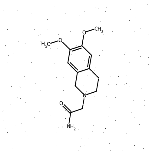 COc1cc2c(cc1OC)CN(CC(N)=O)CC2